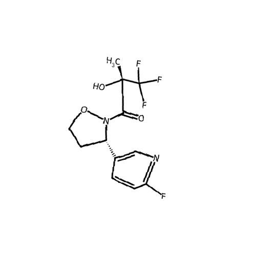 C[C@](O)(C(=O)N1OCC[C@H]1c1ccc(F)nc1)C(F)(F)F